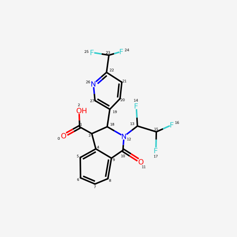 O=C(O)C1c2ccccc2C(=O)N(C(F)C(F)F)C1c1ccc(C(F)F)nc1